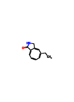 CCC1=C/C=C\C=C2\C(=O)NC\C2=C\1